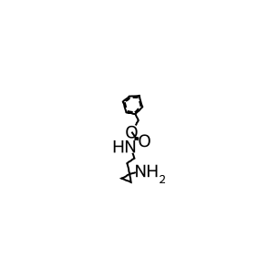 NC1(CCNC(=O)OCc2ccccc2)CC1